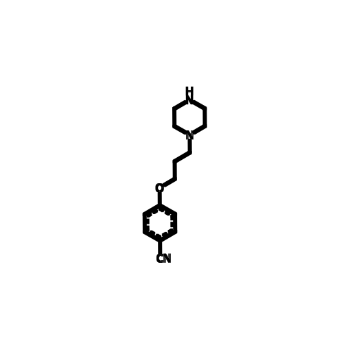 N#Cc1ccc(OCCCN2CCNCC2)cc1